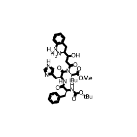 CC[C@@H](C)[C@@H](C(=O)OC)N(C(=O)CC(O)[C@@H](N)Cc1ccccc1N)C(=O)[C@H](Cc1c[nH]cn1)NC(=O)[C@H](Cc1ccccc1)NC(=O)OC(C)(C)C